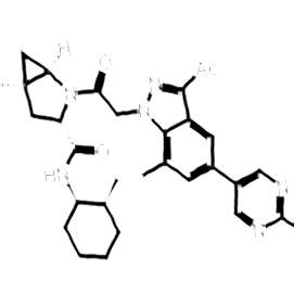 CC(=O)c1nn(CC(=O)N2[C@H](C(=O)N[C@@H]3CCCC[C@@H]3C)C[C@@]3(C)C[C@@H]23)c2c(C)cc(-c3cnc(C)nc3)cc12